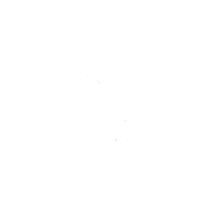 COC(=O)Cn1c(C)c(Cc2ccc(S(=O)(=O)c3ccc(F)cc3)cc2)c2cc(F)ccc21